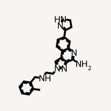 Cc1ccccc1CNCCn1cc2c(n1)c(N)nc1cc(C3=NNCC3)ccc12